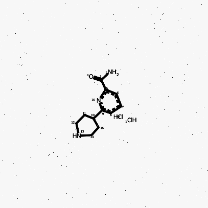 Cl.Cl.NC(=O)c1cccc(C2CCNCC2)n1